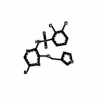 O=S(=O)(Nc1ncc(Br)nc1OCc1ccoc1)c1cccc(Cl)c1Cl